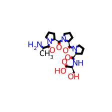 C[C@H](N)C(=O)N1CCC[C@H]1C(=O)N1CCC[C@H]1C(=O)N1CCC[C@H]1C(=O)N[C@@H](CO)C(=O)O